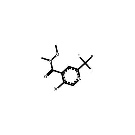 CON(C)C(=O)c1cc(C(F)(F)F)ncc1Br